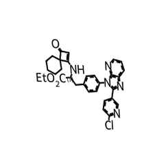 CCOC(=O)[C@H](Cc1ccc(-n2c(-c3ccc(Cl)nc3)nc3cccnc32)cc1)NC1=CC(=O)C12CCCCC2